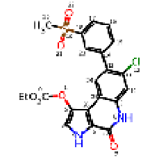 CCOC(=O)Oc1c[nH]c2c(=O)[nH]c3cc(Cl)c(-c4cccc(S(C)(=O)=O)c4)cc3c12